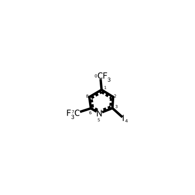 FC(F)(F)c1cc(I)nc(C(F)(F)F)c1